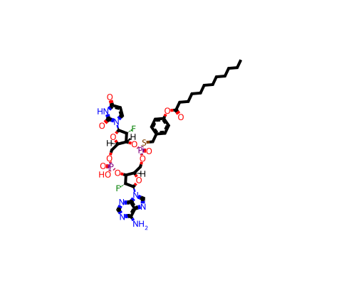 CCCCCCCCCCCC(=O)Oc1ccc(CSP2(=O)OC[C@H]3O[C@@H](n4cnc5c(N)ncnc54)[C@H](F)C3OP(=O)(O)OC[C@H]3O[C@@H](n4ccc(=O)[nH]c4=O)[C@H](F)[C@@H]3O2)cc1